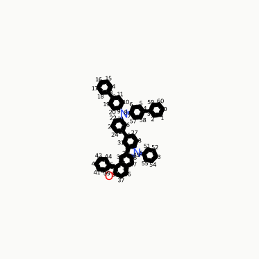 c1ccc(-c2ccc(N(c3ccc(-c4ccccc4)cc3)c3cccc(-c4ccc5c(c4)c4cc6c(ccc7oc8ccccc8c76)cc4n5-c4ccccc4)c3)cc2)cc1